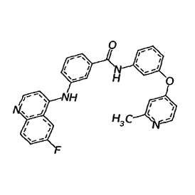 Cc1cc(Oc2cccc(NC(=O)c3cccc(Nc4ccnc5ccc(F)cc45)c3)c2)ccn1